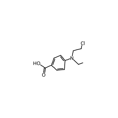 CCN(CCCl)c1ccc(C(=O)O)cc1